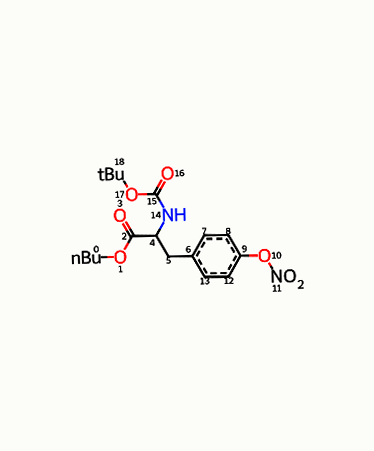 CCCCOC(=O)C(Cc1ccc(O[N+](=O)[O-])cc1)NC(=O)OC(C)(C)C